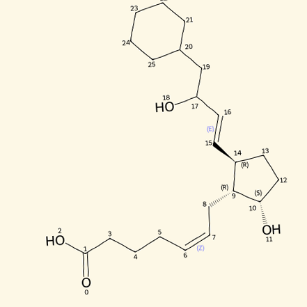 O=C(O)CCC/C=C\C[C@H]1[C@@H](O)CC[C@@H]1/C=C/C(O)CC1CCCCC1